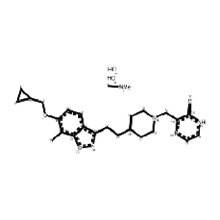 CNC.Cc1c(OCC2CC2)ccc2c(CCC3CCN(Cc4ncc[nH]c4=O)CC3)noc12.Cl.Cl